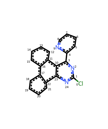 Clc1nc(-c2ccccn2)c2c3ccccc3c3ccccc3c2n1